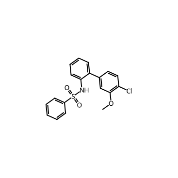 COc1cc(-c2ccccc2NS(=O)(=O)c2ccccc2)ccc1Cl